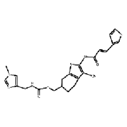 Cn1cnc(CNC(=O)OCC2CCc3c(sc(NC(=O)C=Cc4ccsc4)c3C#N)C2)c1